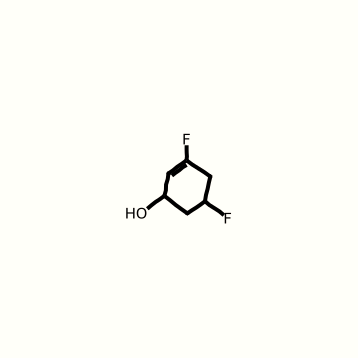 OC1C=C(F)CC(F)C1